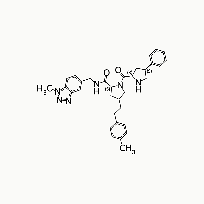 Cc1ccc(CCC2C[C@@H](C(=O)NCc3ccc4c(c3)nnn4C)N(C(=O)[C@H]3C[C@@H](c4ccccc4)CN3)C2)cc1